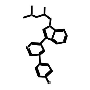 CC(CN(C)C)Cn1cc(-c2cncc(-c3ccc(Cl)cc3)c2)c2ccccc21